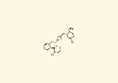 COc1ccc(Br)cc1OC1CN(CCc2ccccc2N2CCCCC2=O)C1